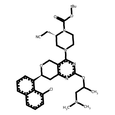 CC(CN(C)C)Oc1nc2c(c(N3CCN(C(=O)OC(C)(C)C)[C@@H](CC#N)C3)n1)CO[C@H](c1cccc3cccc(Cl)c13)C2